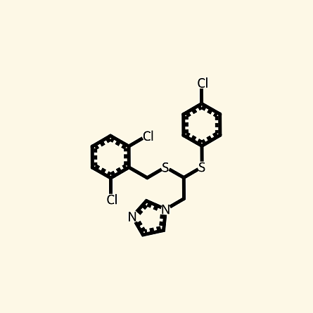 Clc1ccc(SC(Cn2ccnc2)SCc2c(Cl)cccc2Cl)cc1